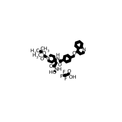 CC(C)(C)OC(=O)N1CCC(CC(=O)NO)(NC(=O)c2ccc(COc3ccnc4ccccc34)cc2)CC1.O=C(O)C(F)(F)F